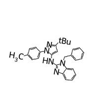 Cc1ccc(-n2nc(C(C)(C)C)cc2Nc2nc3ccccc3n2Cc2ccccc2)cc1